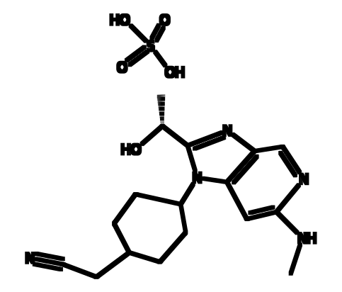 CNc1cc2c(cn1)nc([C@@H](C)O)n2C1CCC(CC#N)CC1.O=S(=O)(O)O